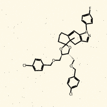 CC12Cc3cnn(-c4ccc(F)cc4)c3C=C1CCCC21O[C@H](COCc2ccc(Cl)cc2)[C@@H](COCc2ccc(Cl)cc2)O1